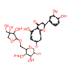 O=c1cc(-c2ccc(O)c(O)c2)oc2cc(O[C@H]3OC(COC4OC[C@](O)(CO)[C@H]4O)[C@H](O)[C@H](O)C3O)cc(O)c12